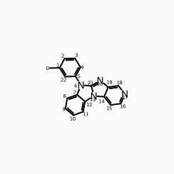 Cc1cccc(-n2c3ccccc3n3c4ccncc4nc23)c1